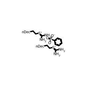 CCCCCCCCCCCC[S+]=C(N)N.CCCCCCCCCCCC[S+]=C(N)N.O=P([O-])([O-])c1ccccc1